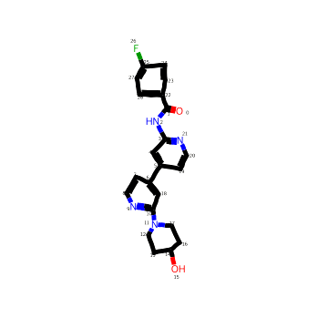 O=C(Nc1cc(-c2ccnc(N3CCC(O)CC3)c2)ccn1)c1ccc(F)cc1